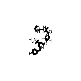 Cc1nc(-c2ncccn2)sc1C(=O)N1C[C@@H]2[C@H](C1)[C@H]2Oc1cc(C(C)(C)N)cc(Cc2ccc(F)cc2)n1